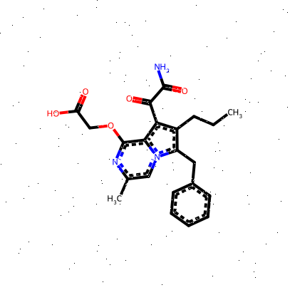 CCCc1c(C(=O)C(N)=O)c2c(OCC(=O)O)nc(C)cn2c1Cc1ccccc1